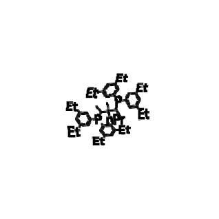 CCCC(C)(C(C)P(c1cc(CC)cc(CC)c1)c1cc(CC)cc(CC)c1)C(C)P(c1cc(CC)cc(CC)c1)c1cc(CC)cc(CC)c1